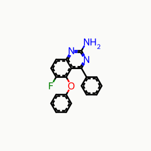 Nc1nc(-c2ccccc2)c2c(Oc3ccccc3)c(F)ccc2n1